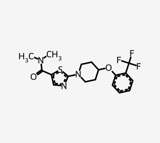 CN(C)C(=O)c1cnc(N2CCC(Oc3ccccc3C(F)(F)F)CC2)s1